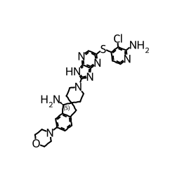 Nc1nccc(Sc2cnc3[nH]c(N4CCC5(CC4)Cc4ccc(N6CCOCC6)cc4[C@H]5N)nc3n2)c1Cl